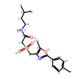 Cc1ccc(-c2nc(CS(=O)(=O)CC(=O)NCCC(C)C)c(C)o2)cc1